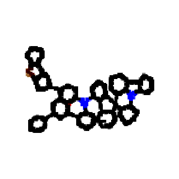 c1ccc(-c2cccc(-c3ccccc3N(c3ccc(-c4ccc5sc6ccccc6c5c4)cc3)c3cccc4c3-c3ccccc3C43c4ccccc4-n4c5ccccc5c5cccc3c54)c2)cc1